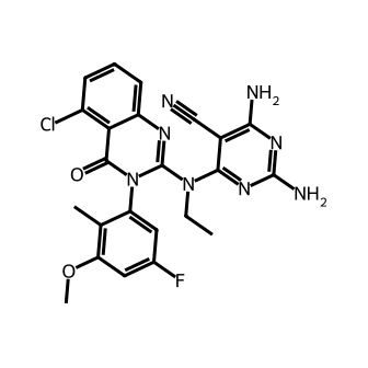 CCN(c1nc(N)nc(N)c1C#N)c1nc2cccc(Cl)c2c(=O)n1-c1cc(F)cc(OC)c1C